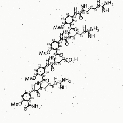 COc1ccc(NC(=O)C(CCCNC(=N)N)NC(=O)c2cc(NC(=O)[C@H](CCC(=O)O)NC(=O)c3cc(NC(=O)[C@H](CCCNC(=N)N)NC(=O)c4cc(NC(=O)[C@@H](N)CCCNC(=N)N)ccc4OC)ccc3OC)ccc2OC)cc1C(N)=O